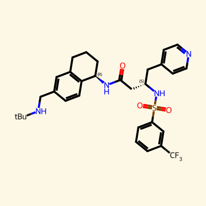 CC(C)(C)NCc1ccc2c(c1)CCC[C@H]2NC(=O)C[C@H](Cc1ccncc1)NS(=O)(=O)c1cccc(C(F)(F)F)c1